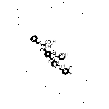 O=C(N[C@@H](CSCc1ccccc1)C(=O)O)c1ccc(-c2nc3cnc(NCc4ccc(F)c(F)c4)nc3n2C[C@@H]2CCCNC2)c(Cl)c1